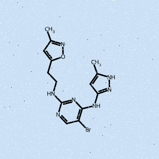 Cc1cc(CCNc2ncc(Br)c(Nc3cc(C)[nH]n3)n2)on1